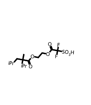 CC(C)CC(C)(C(=O)OCCOC(=O)C(F)(F)S(=O)(=O)O)C(C)C